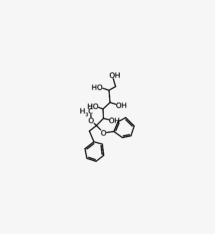 COC(Cc1ccccc1)(Oc1ccccc1)C(O)C(O)C(O)C(O)CO